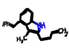 C=C/C=C\c1[nH]c2cccc(CC(C)C)c2c1C